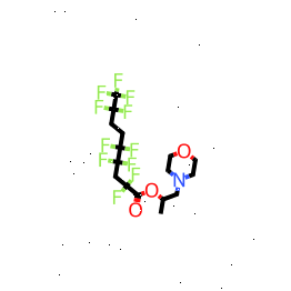 CC(CN1CCOCC1)OC(=O)C(F)(F)CC(F)(F)C(F)(F)CCC(F)(F)C(F)(F)F